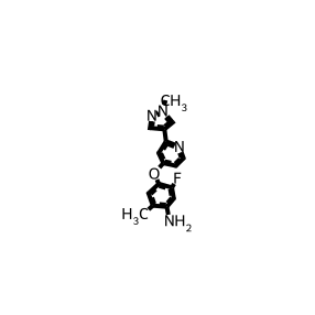 Cc1cc(Oc2ccnc(-c3cnn(C)c3)c2)c(F)cc1N